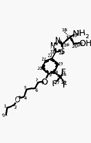 CCCOCCCCOc1ccc(-c2nnc([C@@](C)(N)CO)s2)cc1C(F)(F)F